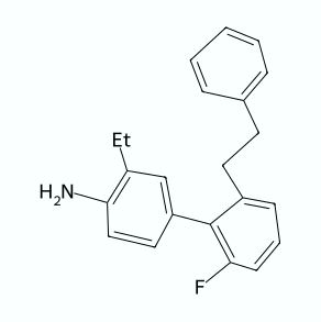 CCc1cc(-c2c(F)cccc2CCc2ccccc2)ccc1N